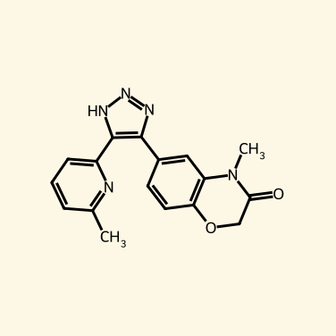 Cc1cccc(-c2[nH]nnc2-c2ccc3c(c2)N(C)C(=O)CO3)n1